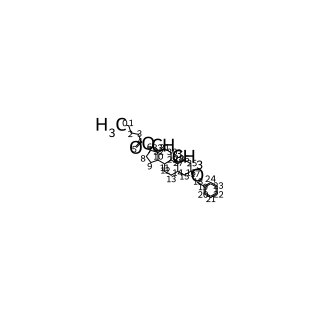 CCCCC(=O)OC1CCC2C3CCC4CC(OCc5ccccc5)CCC4(C)C3CCC12C